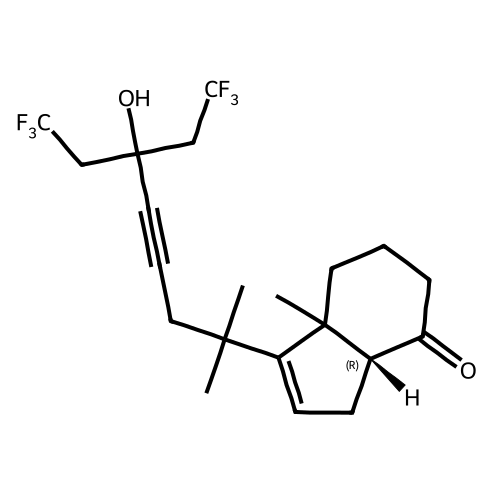 CC(C)(CC#CC(O)(CC(F)(F)F)CC(F)(F)F)C1=CC[C@H]2C(=O)CCCC12C